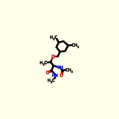 CNC(=O)C(NC(C)=O)C(C)OCC1CC(C)CC(C)C1